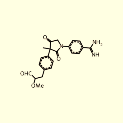 COC(C=O)Cc1ccc(C2(C)C(=O)CN(c3ccc(C(=N)N)cc3)C2=O)cc1